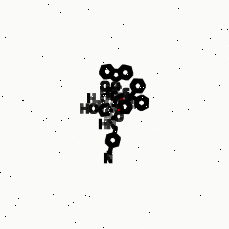 CN(C(=O)OC1c2ccccc2-c2ccccc21)[C@H](C(=O)N1C[C@H](O)C[C@H]1C(=O)NCc1ccc(C#N)cc1)C(C)(C)SC(c1ccccc1)(c1ccccc1)c1ccccc1